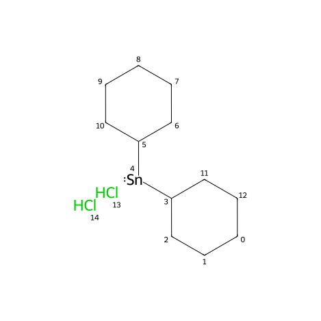 C1CC[CH]([Sn][CH]2CCCCC2)CC1.Cl.Cl